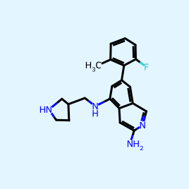 Cc1cccc(F)c1-c1cc(NCC2CCNC2)c2cc(N)ncc2c1